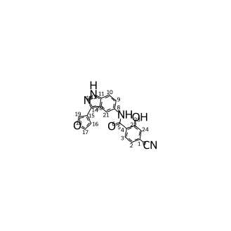 N#Cc1ccc(C(=O)Nc2ccc3[nH]nc(-c4ccoc4)c3c2)c(O)c1